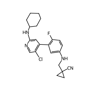 N#CC1(CNc2ccc(F)c(-c3cc(NC4CCCCC4)ncc3Cl)c2)CC1